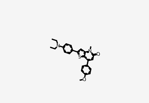 CCN(CC)c1ccc(-c2cc3c(s2)c(-c2ccc(OC)cc2)cc(=O)n3C)cc1